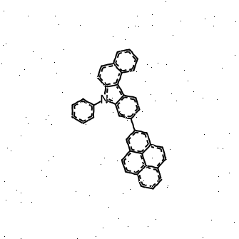 c1ccc(-n2c3cc(-c4cc5ccc6cccc7ccc(c4)c5c67)ccc3c3c4ccccc4ccc32)cc1